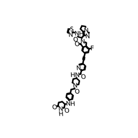 O=C1CCC(Nc2ccc(CC(=O)N3CCC(NC(=O)c4ccc(C#Cc5cc(F)c6c(c5)C(=O)N(C(C(=O)Nc5nccs5)c5ncn7c5CCC7)C6)cn4)CC3)cc2)C(=O)N1